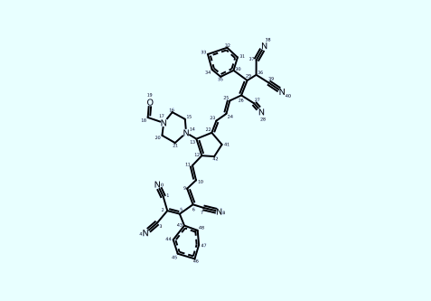 N#CC(C#N)=C(/C(C#N)=C/C=C/C1=C(N2CCN(C=O)CC2)C(=C/C=C/C(C#N)=C(\c2ccccc2)C(C#N)C#N)/CC1)c1ccccc1